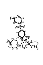 CC(C)(C)c1nc2cc(S(=O)(=O)c3ccnc(F)c3)ccc2n1CC1CCOC(=O)CC1